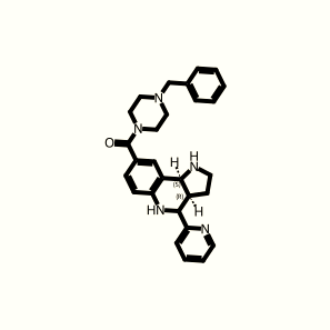 O=C(c1ccc2c(c1)[C@H]1NCC[C@H]1C(c1ccccn1)N2)N1CCN(Cc2ccccc2)CC1